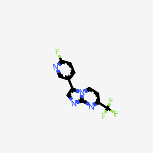 Fc1ccc(-c2cnc3nc(C(F)(F)F)ccn23)cn1